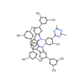 Cc1nc(C)nc(-c2cc(-n3c4cc(-c5cc(C#N)cc(C#N)c5)ccc4c4ccc(-c5cc(C#N)cc(C#N)c5)cc43)c(-n3c4cc(-c5cc(C#N)cc(C#N)c5)ccc4c4ccc(-c5cc(C#N)cc(C#N)c5)cc43)cc2C#N)n1